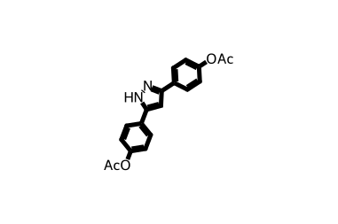 CC(=O)Oc1ccc(-c2cc(-c3ccc(OC(C)=O)cc3)[nH]n2)cc1